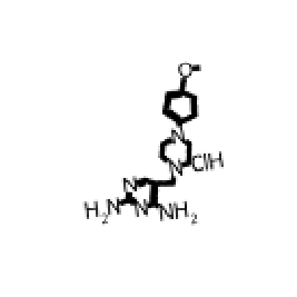 COc1ccc(N2CCN(Cc3cnc(N)nc3N)CC2)cc1.Cl